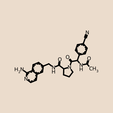 CC(=O)NC(C(=O)N1CCCC1C(=O)NCc1ccc2c(N)nccc2c1)c1ccc(C#N)cc1